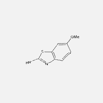 COc1ccc2nc([NH])sc2c1